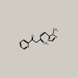 C=C(/C=C\c1ncnn1C)CC(=O)c1ccccn1